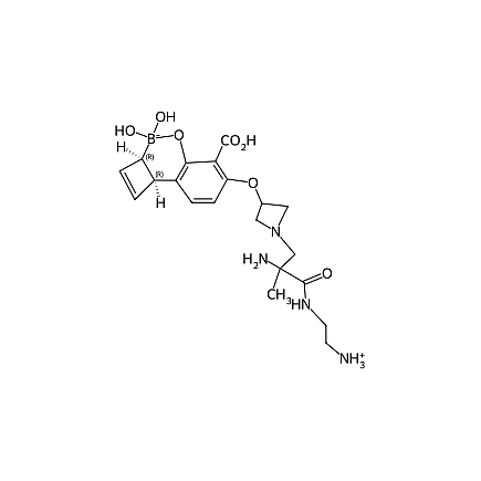 CC(N)(CN1CC(Oc2ccc3c(c2C(=O)O)O[B-](O)(O)[C@@H]2C=C[C@H]32)C1)C(=O)NCC[NH3+]